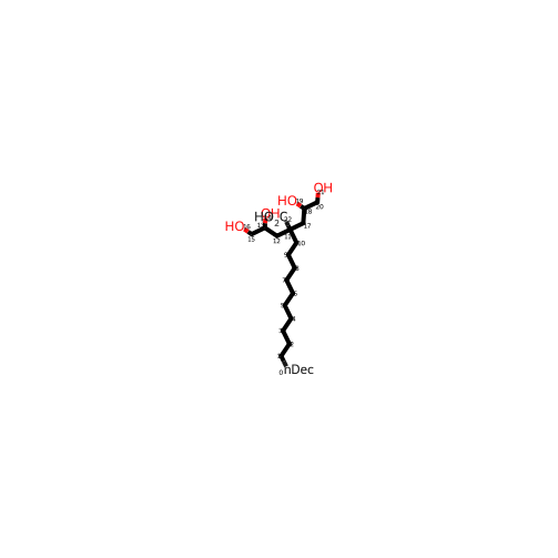 CCCCCCCCCCCCCCCCCCCCC(CC(O)CO)(CC(O)CO)C(=O)O